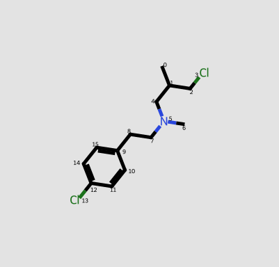 CC(CCl)CN(C)CCc1ccc(Cl)cc1